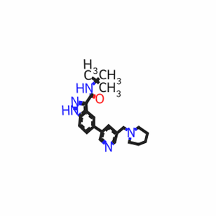 CC(C)(C)NC(=O)c1n[nH]c2ccc(-c3cncc(CN4CCCCC4)c3)cc12